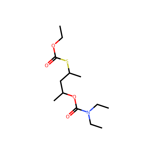 CCOC(=O)SC(C)CC(C)OC(=O)N(CC)CC